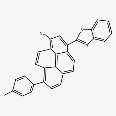 Cc1ccc(-c2ccc3ccc4c(-c5nc6ccccc6s5)cc(C#N)c5ccc2c3c54)cc1